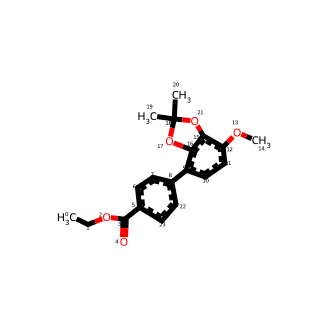 CCOC(=O)c1ccc(-c2ccc(OC)c3c2OC(C)(C)O3)cc1